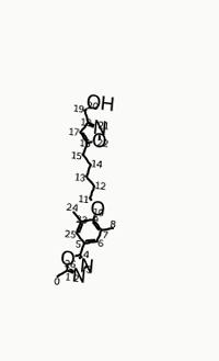 Cc1nnc(-c2cc(C)c(OCCCCCc3cc(CO)no3)c(C)c2)o1